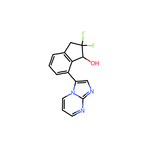 OC1c2c(cccc2-c2cnc3ncccn23)CC1(F)F